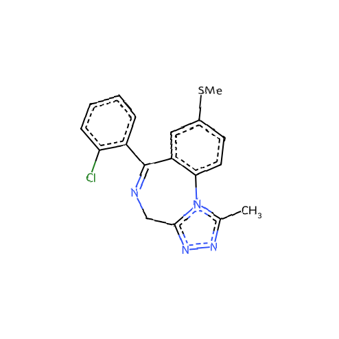 CSc1ccc2c(c1)C(c1ccccc1Cl)=NCc1nnc(C)n1-2